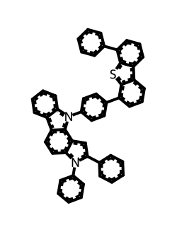 c1ccc(-c2cccc3c2sc2c(-c4ccc(-n5c6ccccc6c6ccc7c(cc(-c8ccccc8)n7-c7ccccc7)c65)cc4)cccc23)cc1